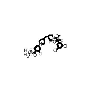 CN(C)C(=O)c1ccc(N2CCC(CC3CCN(C(=O)C(O)(c4cc(Cl)cc(Cl)c4)C(F)F)CC3)CC2)cc1Cl